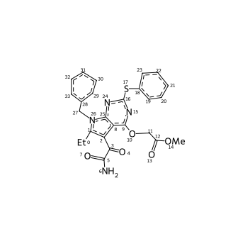 CCc1c(C(=O)C(N)=O)c2c(OCC(=O)OC)nc(Sc3ccccc3)nc2n1Cc1ccccc1